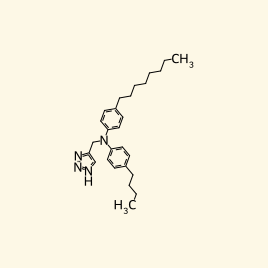 CCCCCCCCc1ccc(N(Cc2c[nH]nn2)c2ccc(CCCC)cc2)cc1